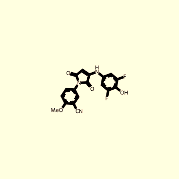 COc1ccc(N2C(=O)C=C(Nc3cc(F)c(O)c(F)c3)C2=O)cc1C#N